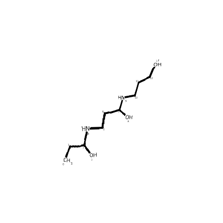 CCC(O)NCCC(O)NCCCO